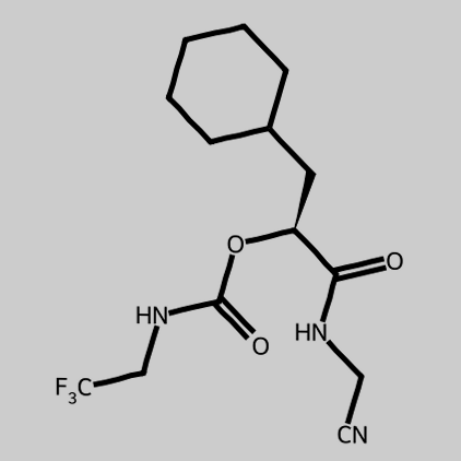 N#CCNC(=O)[C@H](CC1CCCCC1)OC(=O)NCC(F)(F)F